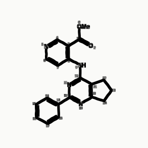 COC(=O)c1cnccc1Nc1nc(-c2ccccc2)nc2c1CCC2